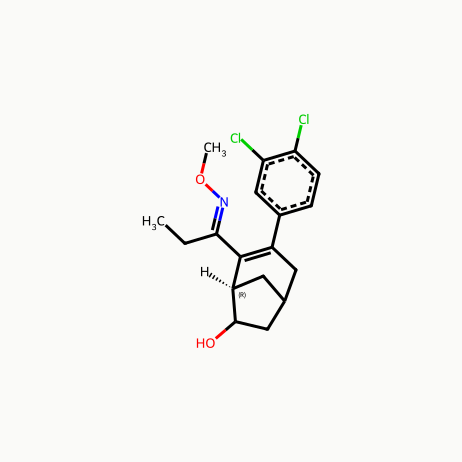 CCC(=NOC)C1=C(c2ccc(Cl)c(Cl)c2)CC2CC(O)[C@@H]1C2